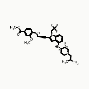 COC(=O)c1ccc(NCC#Cc2cc3c(N[C@@H]4CCN(CC(C)C)C[C@@H]4F)cccc3n2CC(F)(F)F)c(OC)c1